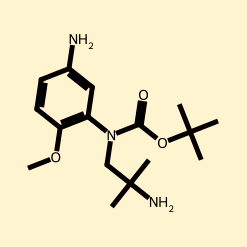 COc1ccc(N)cc1N(CC(C)(C)N)C(=O)OC(C)(C)C